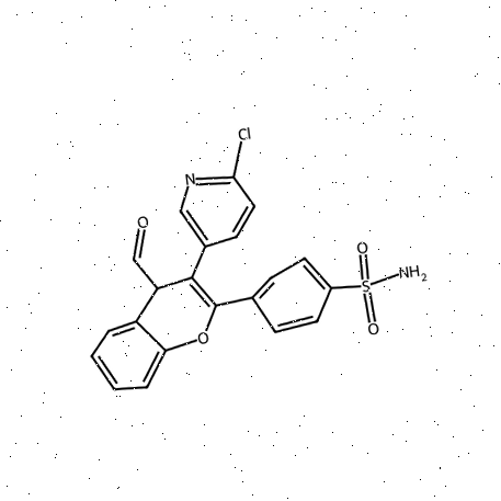 NS(=O)(=O)c1ccc(C2=C(c3ccc(Cl)nc3)C(C=O)c3ccccc3O2)cc1